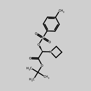 Cc1ccc(S(=O)(=O)O[C@H](C(=O)OC(C)(C)C)N2CCC2)cc1